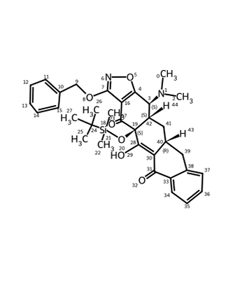 CN(C)[C@@H]1c2onc(OCc3ccccc3)c2C(=O)[C@@]2(O[Si](C)(C)C(C)(C)C)C(O)=C3C(=O)c4ccccc4C[C@H]3C[C@@H]12